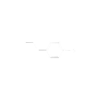 N#Cc1ccc(SCF)cc1